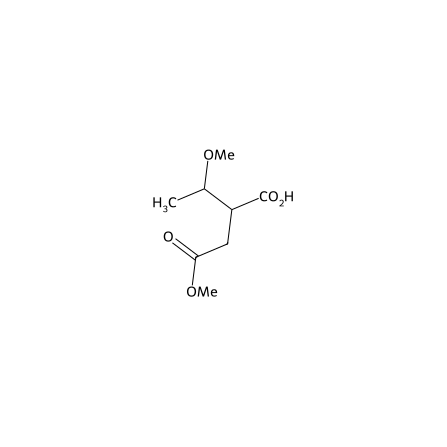 COC(=O)CC(C(=O)O)C(C)OC